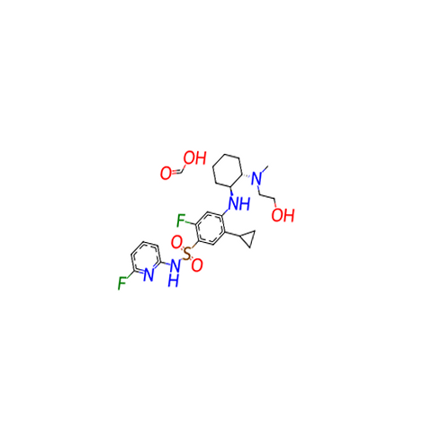 CN(CCO)[C@H]1CCCC[C@@H]1Nc1cc(F)c(S(=O)(=O)Nc2cccc(F)n2)cc1C1CC1.O=CO